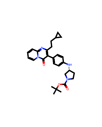 CC(C)(C)OC(=O)N1CC[C@@H](Nc2ccc(-c3c(CCC4CC4)nc4ccccn4c3=O)cc2)C1